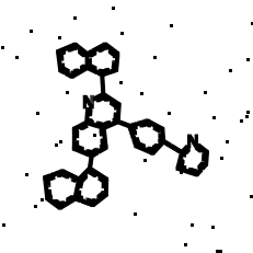 c1ccc(-c2ccc(-c3cc(-c4cccc5ccccc45)nc4ccc(-c5cccc6ccccc56)cc34)cc2)nc1